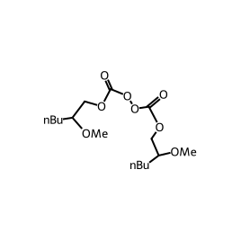 CCCCC(COC(=O)OOC(=O)OCC(CCCC)OC)OC